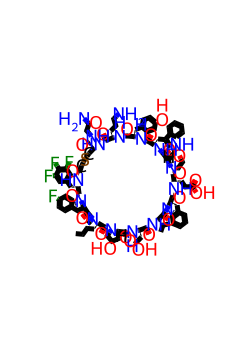 CCCC[C@H]1C(=O)N2C[C@H](O)C[C@@H]2C(=O)N[C@@H](CC(=O)O)C(=O)N[C@@H](C(C)C)C(=O)N(C)[C@@H](Cc2ccccc2)C(=O)N[C@@H](CCC(=O)O)C(=O)N2CCOC[C@@H]2C(=O)N[C@@H](Cc2c[nH]c3ccccc23)C(=O)N[C@@H](Cc2ccc(O)cc2)C(=O)N[C@@H](CCCN)C(=O)N[C@H](C(=O)NCC(N)=O)CSCC(=O)N[C@@H](Cc2cc(F)c(F)c(F)c2)C(=O)N(C)C(Cc2ccc(F)cc2)C(=O)N1C